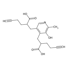 C#CCCC(Cc1cnc(C)c(O)c1CC(CCC#C)C(=O)O)C(=O)O